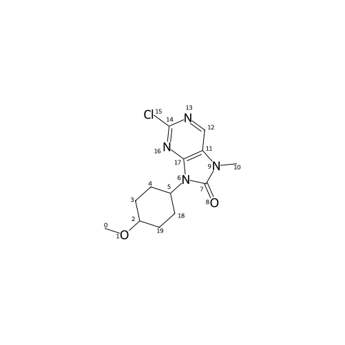 COC1CCC(n2c(=O)n(C)c3cnc(Cl)nc32)CC1